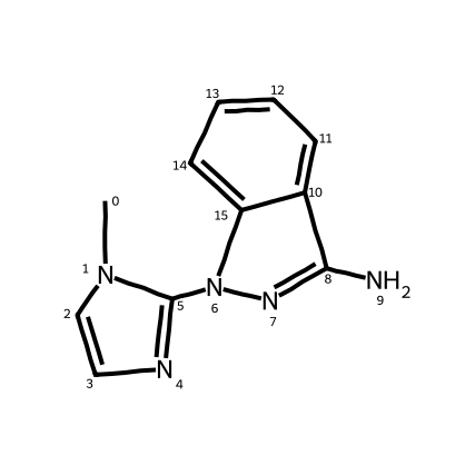 Cn1ccnc1-n1nc(N)c2ccccc21